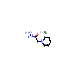 NNC(=O)C[n+]1ccccc1.[Cl-]